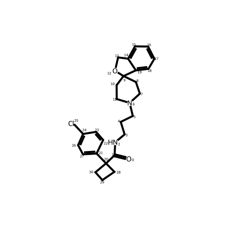 O=C(NCCCN1CCC2(CC1)OCc1ccccc12)C1(c2ccc(Cl)cc2)CCC1